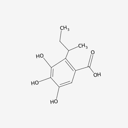 CCC(C)c1c(C(=O)O)cc(O)c(O)c1O